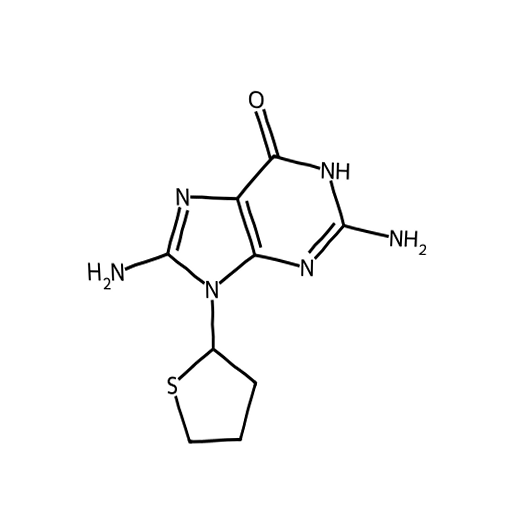 Nc1nc2c(nc(N)n2C2CCCS2)c(=O)[nH]1